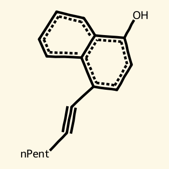 CCCCCC#Cc1ccc(O)c2ccccc12